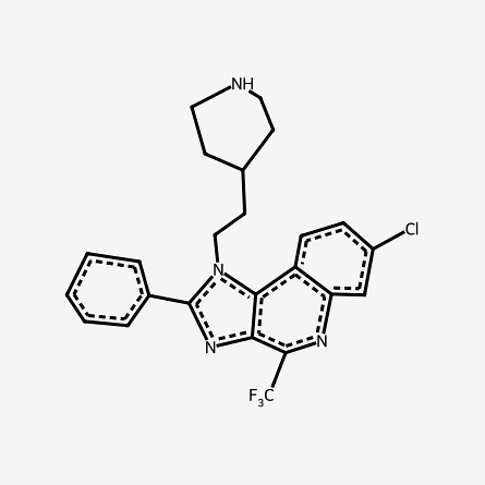 FC(F)(F)c1nc2cc(Cl)ccc2c2c1nc(-c1ccccc1)n2CCC1CCNCC1